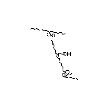 CCCCCCCCC(CCCCCCC)OC(=O)CCCCCCCN(CCO)CCCCCCCC(=O)OC(C)(CCC)CCCCC